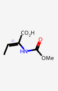 C/C=C(\NC(=O)OC)C(=O)O